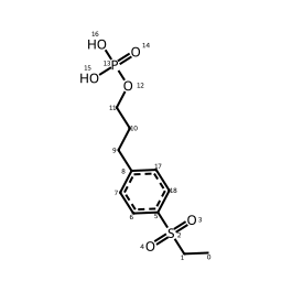 CCS(=O)(=O)c1ccc(CCCOP(=O)(O)O)cc1